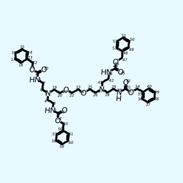 O=C(NCCN(CCNC(=O)OCc1ccccc1)CCOCCOCCN(CCNC(=O)OCc1ccccc1)CCNC(=O)OCc1ccccc1)OCc1ccccc1